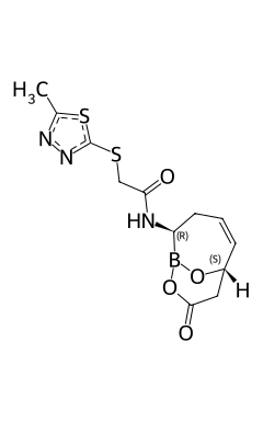 Cc1nnc(SCC(=O)N[C@H]2CC=C[C@@H]3CC(=O)OB2O3)s1